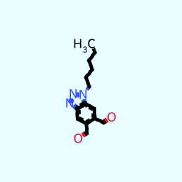 CCCCCCn1nnc2cc(C=O)c(C=O)cc21